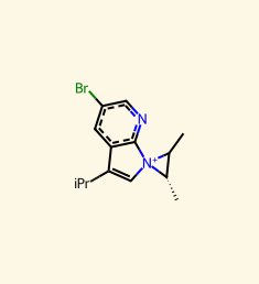 CC(C)C1=C[N+]2(c3ncc(Br)cc31)C(C)[C@@H]2C